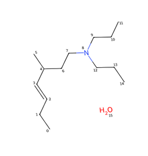 CCC=CC(C)CCN(CCC)CCC.O